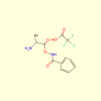 CC(C)C(N)C(=O)ONC(=O)c1ccccc1.O=C(O)C(F)(F)F